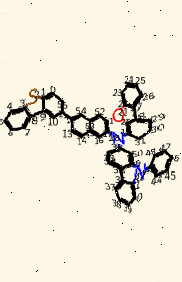 C1=c2sc3ccccc3c2=CC(c2ccc3cc(N(C4=c5oc6ccccc6c5=CCC4)c4ccc5c6ccccc6n(-c6ccccc6)c5c4)ccc3c2)C1